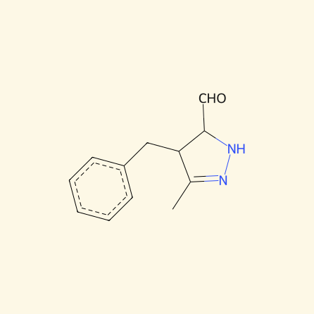 CC1=NNC(C=O)C1Cc1ccccc1